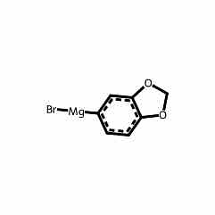 [Br][Mg][c]1ccc2c(c1)OCO2